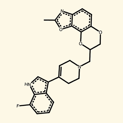 Cc1nc2ccc3c(c2o1)OC(CN1CC=C(c2c[nH]c4c(F)cccc24)CC1)CO3